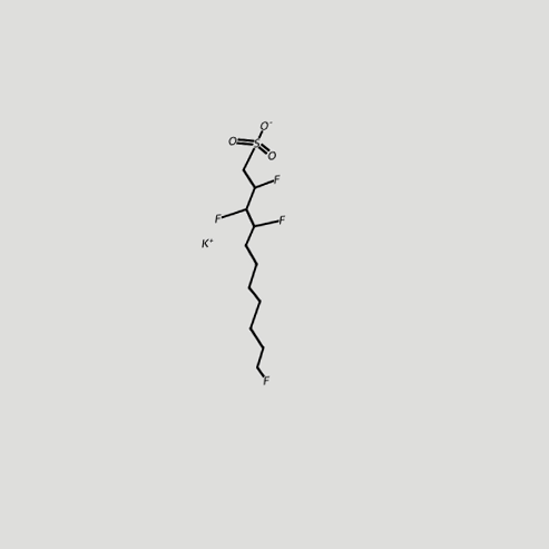 O=S(=O)([O-])CC(F)C(F)C(F)CCCCCCCF.[K+]